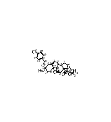 CCC1(C(C)=O)CCC2C3CC=C4CC(O)(OCc5ccc(Cl)cc5)CCC4(C)C3CCC21C